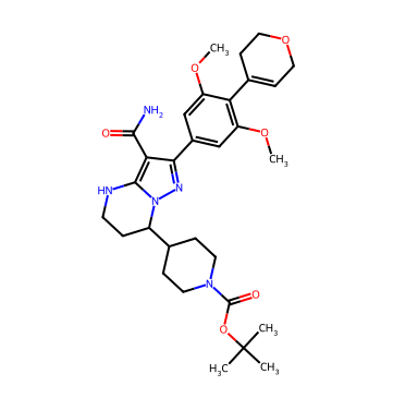 COc1cc(-c2nn3c(c2C(N)=O)NCCC3C2CCN(C(=O)OC(C)(C)C)CC2)cc(OC)c1C1=CCOCC1